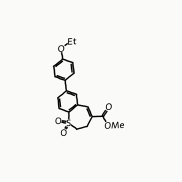 CCOc1ccc(-c2ccc3c(c2)C=C(C(=O)OC)CCS3(=O)=O)cc1